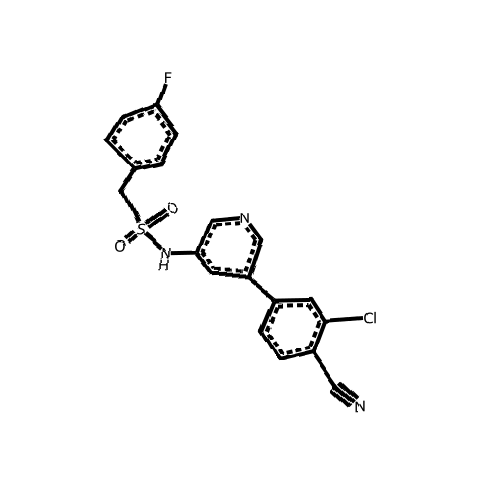 N#Cc1ccc(-c2cncc(NS(=O)(=O)Cc3ccc(F)cc3)c2)cc1Cl